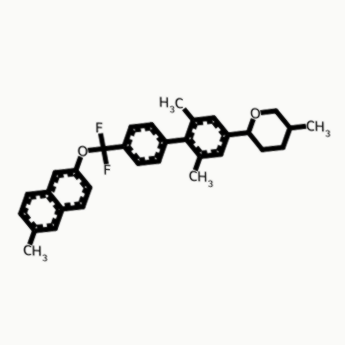 Cc1ccc2cc(OC(F)(F)c3ccc(-c4c(C)cc(C5CCC(C)CO5)cc4C)cc3)ccc2c1